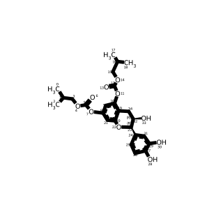 CC(C)COC(=O)Oc1cc(OC(=O)OCC(C)C)c2c(c1)O[C@H](c1ccc(O)c(O)c1)[C@H](O)C2